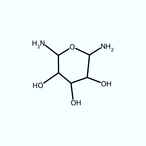 NC1OC(N)C(O)C(O)C1O